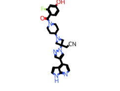 N#CCC1(n2cc(-c3ccnc4[nH]ccc34)cn2)CN(C2CCN(C(=O)c3ccc(O)cc3F)CC2)C1